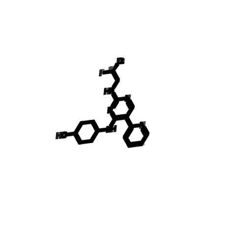 CC[C@H](F)CNc1ncc(-c2cc[c]cn2)c(NC2CCC(O)CC2)n1